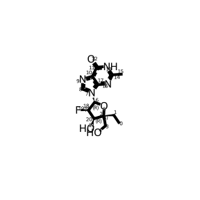 CC[C@]1(CO)O[C@@H](n2cnc3c(=O)[nH]c(C)nc32)[C@H](F)[C@@H]1O